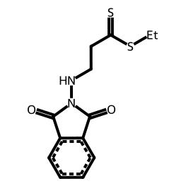 CCSC(=S)CCNN1C(=O)c2ccccc2C1=O